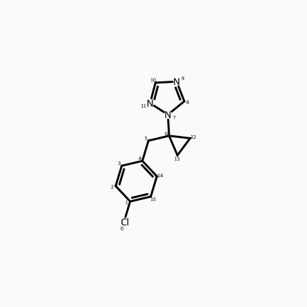 Clc1ccc(CC2(n3cncn3)CC2)cc1